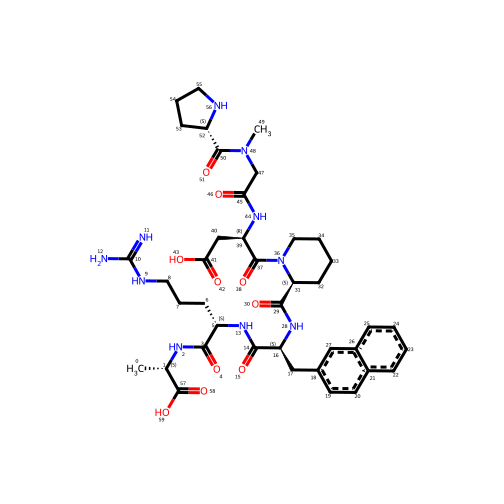 C[C@H](NC(=O)[C@H](CCCNC(=N)N)NC(=O)[C@H](Cc1ccc2ccccc2c1)NC(=O)[C@@H]1CCCCN1C(=O)[C@@H](CC(=O)O)NC(=O)CN(C)C(=O)[C@@H]1CCCN1)C(=O)O